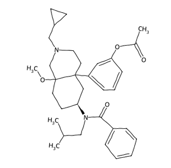 COC12CC[C@H](N(CC(C)C)C(=O)c3ccccc3)CC1(c1cccc(OC(C)=O)c1)CCN(CC1CC1)C2